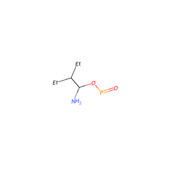 CCC(CC)C(N)OP=O